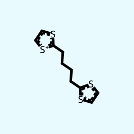 c1c[s+]c(CCCCc2scc[s+]2)s1